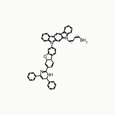 B/C=C\C=C/n1c2ccccc2c2cc3c4ccccc4n(-c4ccc5c(c4)OC4C=C(C6=NC(c7ccccc7)=CC(c7ccccc7)N6)C=CC54)c3cc21